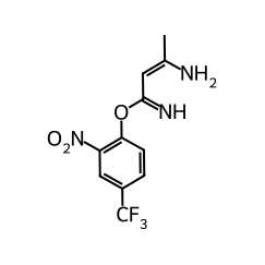 C/C(N)=C/C(=N)Oc1ccc(C(F)(F)F)cc1[N+](=O)[O-]